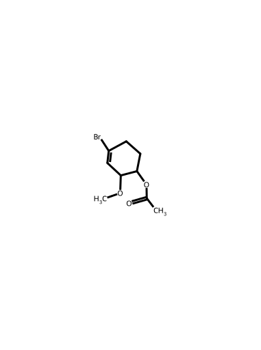 COC1C=C(Br)CCC1OC(C)=O